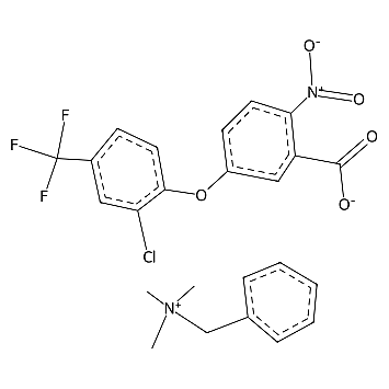 C[N+](C)(C)Cc1ccccc1.O=C([O-])c1cc(Oc2ccc(C(F)(F)F)cc2Cl)ccc1[N+](=O)[O-]